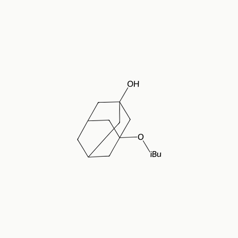 CCC(C)OC12CC3CC(CC(O)(C3)C1)C2